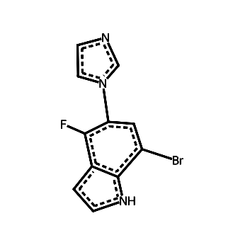 Fc1c(-n2ccnc2)cc(Br)c2[nH]ccc12